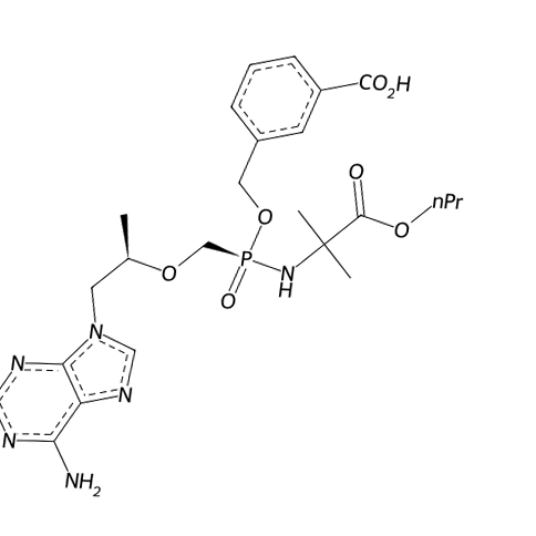 CCCOC(=O)C(C)(C)N[P@@](=O)(CO[C@H](C)Cn1cnc2c(N)ncnc21)OCc1cccc(C(=O)O)c1